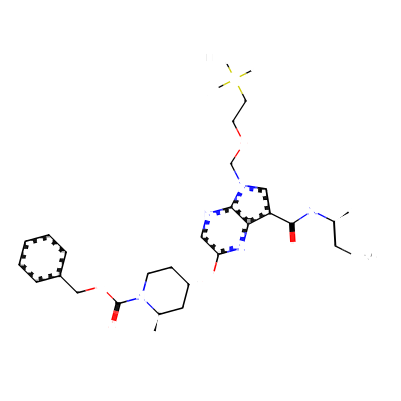 COC[C@H](C)NC(=O)c1cn(COCCS(C)(C)C)c2ncc(O[C@H]3CCN(C(=O)OCc4ccccc4)[C@H](C)C3)nc12